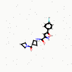 O=C(N[C@H]1C[C@H](C(=O)N2CCC2)C1)c1cc(-c2ccc(F)cc2)on1